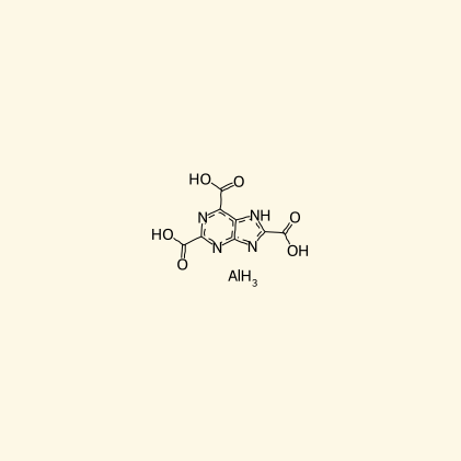 O=C(O)c1nc(C(=O)O)c2[nH]c(C(=O)O)nc2n1.[AlH3]